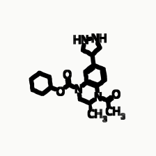 CC(=O)N1c2ccc(C3CNNC3)cc2N(C(=O)OC2CCCCC2)C[C@@H]1C